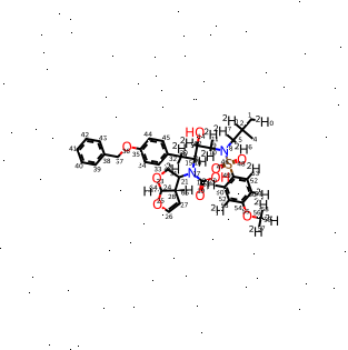 [2H]CC([2H])(C)C([2H])([2H])N(C([2H])([2H])[C@@]([2H])(O)[C@@]([2H])(N(C(=O)O)C1CO[C@@H]2OC=C[C@@H]12)C([2H])([2H])c1ccc(OCc2ccccc2)cc1)S(=O)(=O)c1c([2H])c([2H])c(OC([2H])([2H])[2H])c([2H])c1[2H]